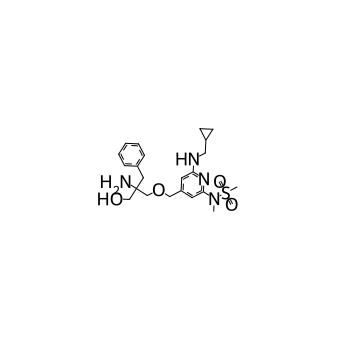 CN(c1cc(COCC(N)(CO)Cc2ccccc2)cc(NCC2CC2)n1)S(C)(=O)=O